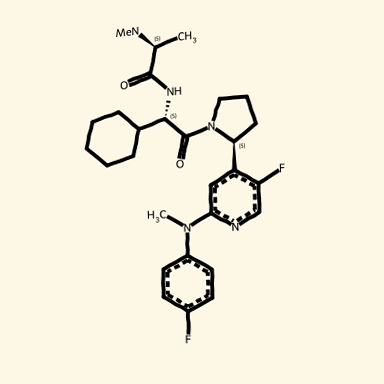 CN[C@@H](C)C(=O)N[C@H](C(=O)N1CCC[C@H]1c1cc(N(C)c2ccc(F)cc2)ncc1F)C1CCCCC1